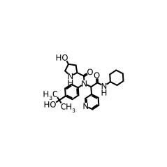 CC(C)(O)c1ccc(N(C(=O)C2CC(O)CN2)C(C(=O)NC2CCCCC2)c2cccnc2)cc1